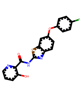 O=C(Nc1nc2ccc(Oc3ccc(F)cc3)cc2s1)c1ncccc1O